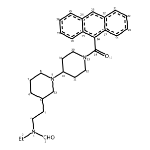 CCN(C=O)CCC1CCCN(C2CCN(C(=O)c3c4ccccc4cc4ccccc34)CC2)C1